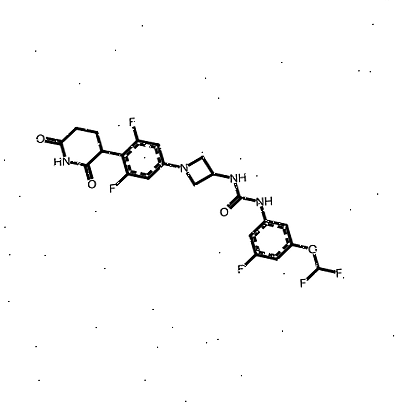 O=C1CCC(c2c(F)cc(N3CC(NC(=O)Nc4cc(F)cc(OC(F)F)c4)C3)cc2F)C(=O)N1